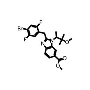 COC(=O)c1ccc2nc(Cc3cc(F)c(Br)cc3F)n(C(C)C(C)(C)OC)c2c1